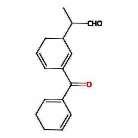 CC(C=O)C1C=C(C(=O)C2=CCCC=C2)C=CC1